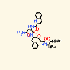 CC[C@H](C)[C@H](NC(=O)CC1OC1C(Cc1ccccc1)NC(=O)[C@@H](CC(N)=O)NC(=O)c1ccc2ccccc2n1)C(=O)NC